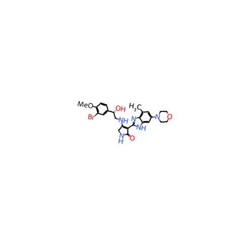 COc1ccc([C@H](O)CNC2=C(c3nc4c(C)cc(N5CCOCC5)cc4[nH]3)C(=O)NC2)cc1Br